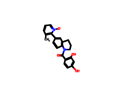 Cc1ccc[n+]([O-])c1-c1ccc2c(c1)CCCN2C(=O)c1ccc(O)cc1O